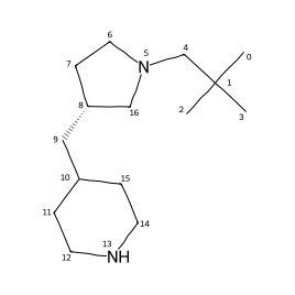 CC(C)(C)CN1CC[C@@H](CC2CCNCC2)C1